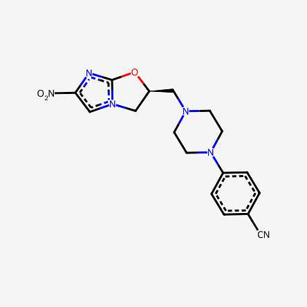 N#Cc1ccc(N2CCN(C[C@H]3Cn4cc([N+](=O)[O-])nc4O3)CC2)cc1